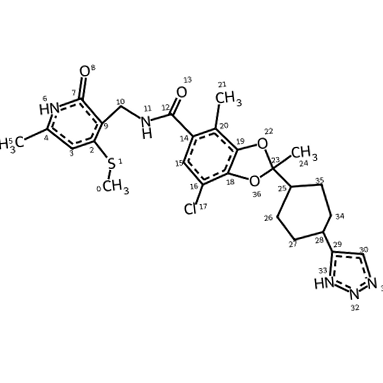 CSc1cc(C)[nH]c(=O)c1CNC(=O)c1cc(Cl)c2c(c1C)OC(C)(C1CCC(c3cnn[nH]3)CC1)O2